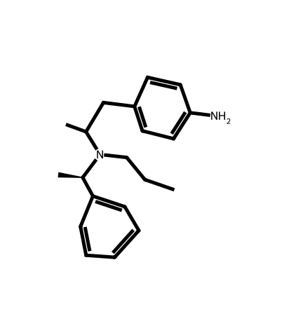 CCCN(C(C)Cc1ccc(N)cc1)[C@H](C)c1ccccc1